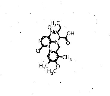 CCC[C@@H](C(=O)O)N(Cc1ncc(C)c(OC)c1C)c1nc(Cl)ncc1[N+](=O)[O-]